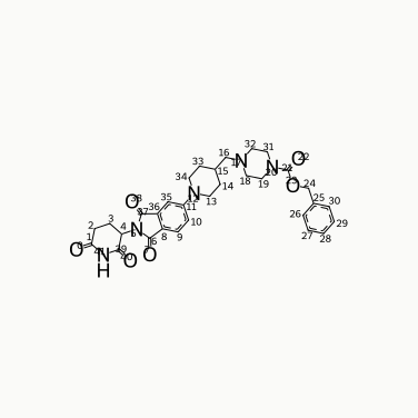 O=C1CCC(N2C(=O)c3ccc(N4CCC(CN5CCN(C(=O)OCc6ccccc6)CC5)CC4)cc3C2=O)C(=O)N1